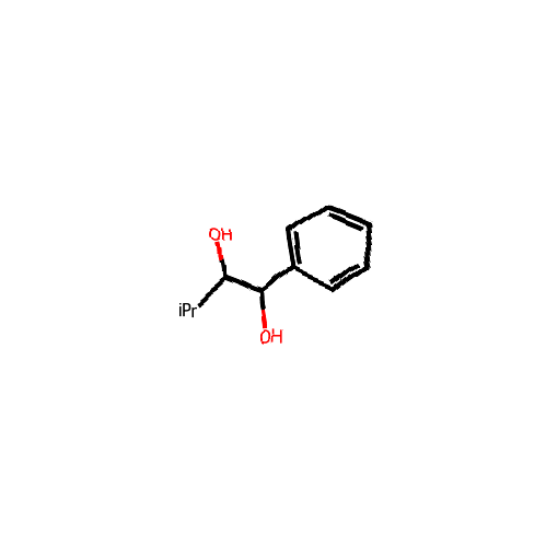 CC(C)C(O)C(O)c1ccccc1